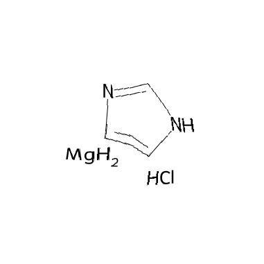 Cl.[MgH2].c1c[nH]cn1